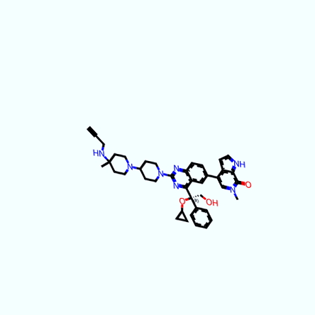 C#CCNC1(C)CCN(C2CCN(c3nc([C@](CO)(OC4CC4)c4ccccc4)c4cc(-c5cn(C)c(=O)c6[nH]ccc56)ccc4n3)CC2)CC1